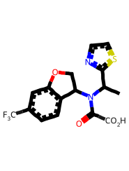 CC(c1nccs1)N(C(=O)C(=O)O)C1COc2cc(C(F)(F)F)ccc21